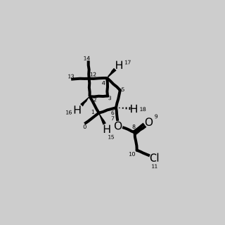 C[C@@H]1[C@H]2C[C@@H](C[C@H]1OC(=O)CCl)C2(C)C